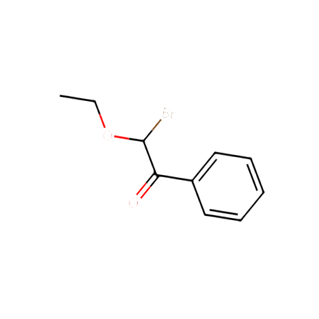 CCOC(Br)C(=O)c1ccccc1